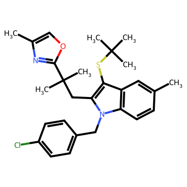 Cc1ccc2c(c1)c(SC(C)(C)C)c(CC(C)(C)c1nc(C)co1)n2Cc1ccc(Cl)cc1